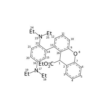 CCOC(=O)C1c2ccccc2Oc2cccc(-c3cc(N(CC)CC)ccc3N(CC)CC)c21